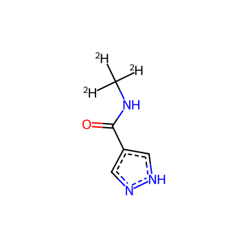 [2H]C([2H])([2H])NC(=O)c1cn[nH]c1